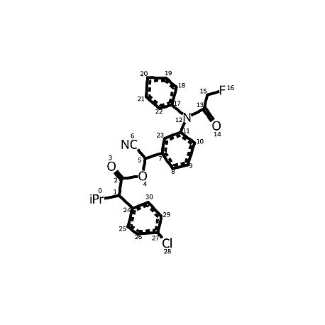 CC(C)C(C(=O)OC(C#N)c1cccc(N(C(=O)CF)c2ccccc2)c1)c1ccc(Cl)cc1